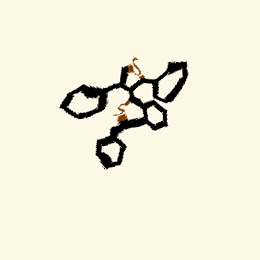 c1ccc(-c2csc(-c3ccccc3)c2-c2sc(-c3ccccc3)c3ccccc23)cc1